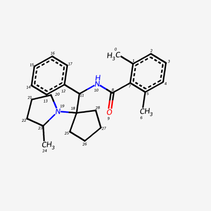 Cc1cccc(C)c1C(=O)NC(c1ccccc1)C1(N2CCCC2C)CCCC1